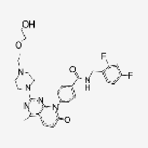 Cc1nc(N2CCN(CCOCCO)CC2)nc2c1ccc(=O)n2-c1ccc(C(=O)NCc2ccc(F)cc2F)cc1